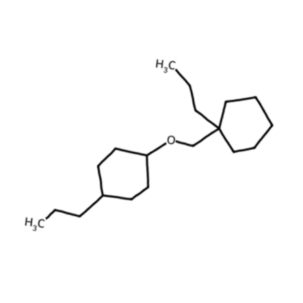 CCCC1CCC(OCC2(CCC)CCCCC2)CC1